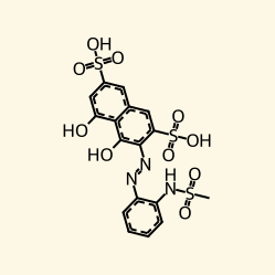 CS(=O)(=O)Nc1ccccc1N=Nc1c(S(=O)(=O)O)cc2cc(S(=O)(=O)O)cc(O)c2c1O